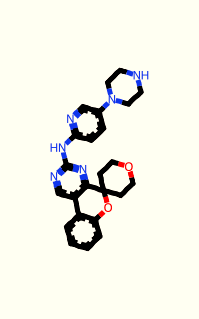 c1ccc2c(c1)OC1(CCOCC1)c1nc(Nc3ccc(N4CCNCC4)cn3)ncc1-2